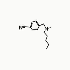 CCCCCN(C)Cc1ccc(C#N)cc1